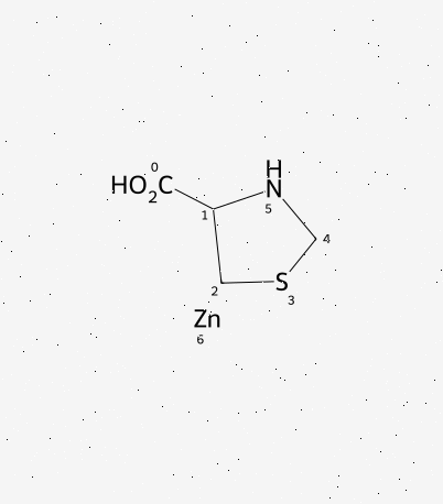 O=C(O)C1CSCN1.[Zn]